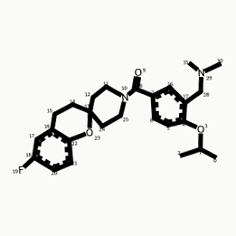 CC(C)Oc1ccc(C(=O)N2CCC3(CCc4cc(F)ccc4O3)CC2)cc1CN(C)C